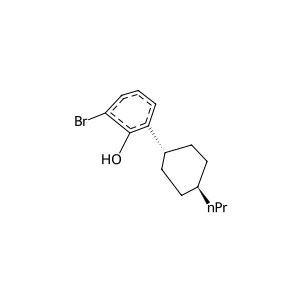 CCC[C@H]1CC[C@H](c2cccc(Br)c2O)CC1